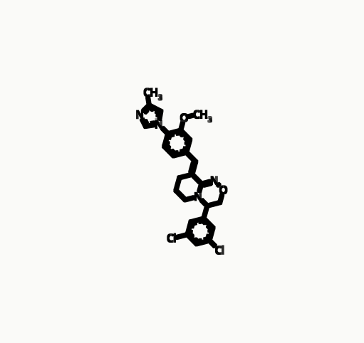 COc1cc(/C=C2\CCCN3C2=NOCC3c2cc(Cl)cc(Cl)c2)ccc1-n1cnc(C)c1